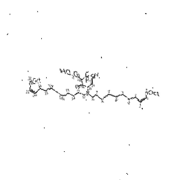 CCCCCCCC/C=C\CCCCCCCCN(CCCCCCCC/C=C\CCCCCCCC)C(CS)C(=O)C(C)C(=O)O